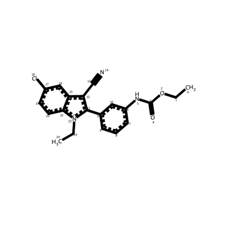 CCOC(=O)Nc1cccc(-c2c(C#N)c3cc(Cl)ccc3n2CC)c1